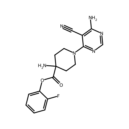 N#Cc1c(N)ncnc1N1CCC(N)(C(=O)Oc2ccccc2F)CC1